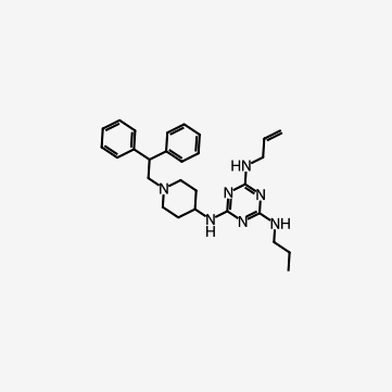 C=CCNc1nc(NCCC)nc(NC2CCN(CC(c3ccccc3)c3ccccc3)CC2)n1